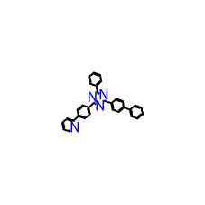 c1ccc(-c2ccc(-c3nc(-c4ccccc4)nc(-c4ccc(-c5ccccn5)cc4)n3)cc2)cc1